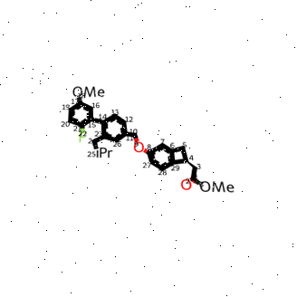 COC(=O)C[C@@H]1Cc2cc(OCc3ccc(-c4cc(OC)ccc4F)c(CC(C)C)c3)ccc21